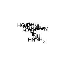 CN(C)CCCC[C@H](N)C(=O)N[C@@H](CCCNC(=N)N)C(=O)N1CCC[C@H]1C(=O)O